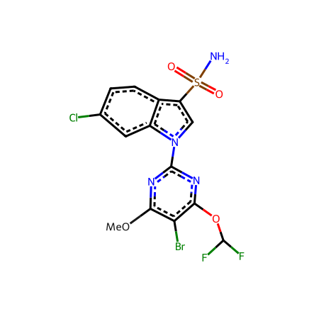 COc1nc(-n2cc(S(N)(=O)=O)c3ccc(Cl)cc32)nc(OC(F)F)c1Br